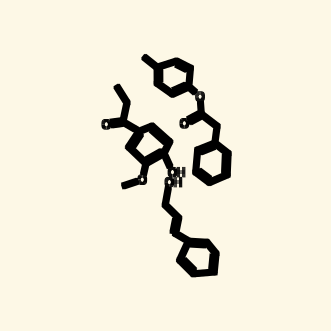 CCC(=O)c1ccc(O)c(OC)c1.Cc1ccc(OC(=O)Cc2ccccc2)cc1.OCC=Cc1ccccc1